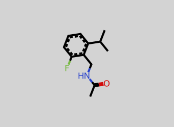 CC(=O)NCc1c(F)cccc1C(C)C